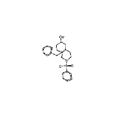 O=S(=O)(c1ccccc1)N1CCC2CC(O)CCC2(Cc2ccccc2)C1